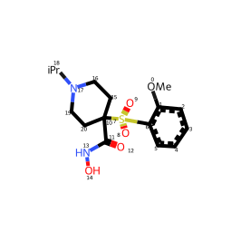 COc1ccccc1S(=O)(=O)C1(C(=O)NO)CCN(C(C)C)CC1